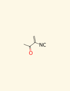 [C-]#[N+]C(=C)C(C)=O